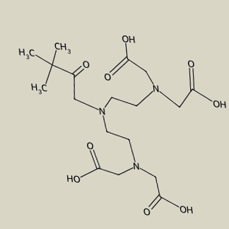 CC(C)(C)C(=O)CN(CCN(CC(=O)O)CC(=O)O)CCN(CC(=O)O)CC(=O)O